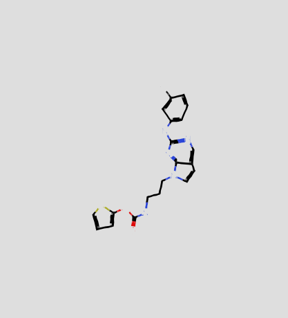 O=C(NCCCn1ccc2cnc(Nc3cccc(C(F)(F)F)c3)nc21)Oc1cccs1